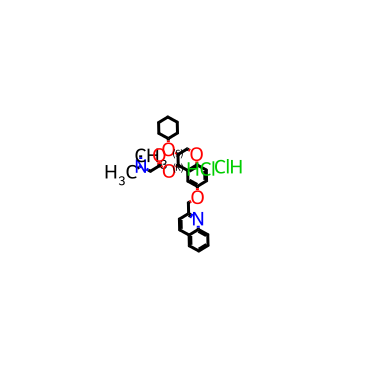 CN(C)CC(=O)O[C@@H]1c2cc(OCc3ccc4ccccc4n3)ccc2OC[C@@H]1OC1CCCCC1.Cl.Cl